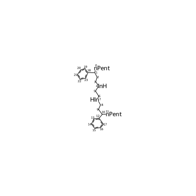 CCCCCC(C[CH2][InH][CH2][CH2][InH][CH2]CC(CCCCC)c1ccccc1)c1ccccc1